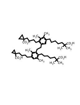 Cc1cc(CCCCC2(C(=O)O)CC2)c(C)c(CCc2cc(CCCCCC(C)(C)C(=O)O)c(C)c(C)c2CCCCC2(C(=O)O)CC2)c1CCCCCC(C)(C)C(=O)O